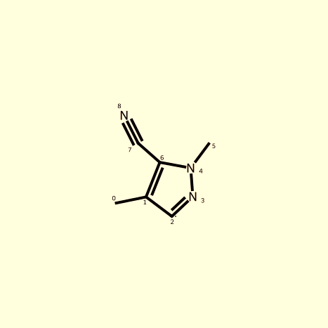 Cc1[c]nn(C)c1C#N